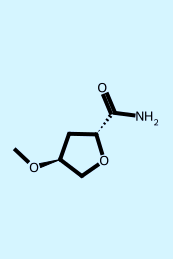 CO[C@@H]1CO[C@@H](C(N)=O)C1